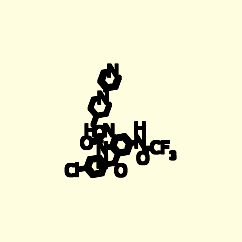 Nc1cc(NC(=O)C(F)(F)F)cc(C(=O)c2ccc(Cl)cc2)c1NC(=O)OCC1CCN(c2ccncc2)CC1